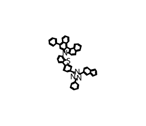 c1ccc(-c2nc(-c3ccc4ccccc4c3)nc(-c3ccc4c(c3)sc3c(-n5c6ccc7ccccc7c6c6c7ccccc7c(-c7ccccc7)cc65)cccc34)n2)cc1